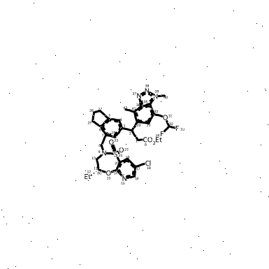 CCOC(=O)CC(c1cc2c(c(CN3C[C@@H](CC)Oc4ncc(Cl)cc4S3(=O)=O)c1)CCC2)c1cc(OC(F)F)c2c(nnn2C)c1C